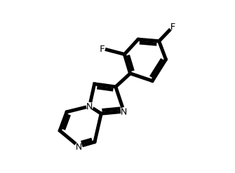 Fc1ccc(-c2cn3ccncc3n2)c(F)c1